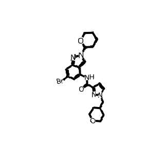 O=C(Nc1cc(Br)cc2nn(C3CCCCO3)cc12)c1ccn(CC2CCOCC2)n1